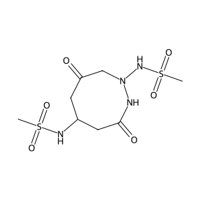 CS(=O)(=O)NC1CC(=O)CN(NS(C)(=O)=O)NC(=O)C1